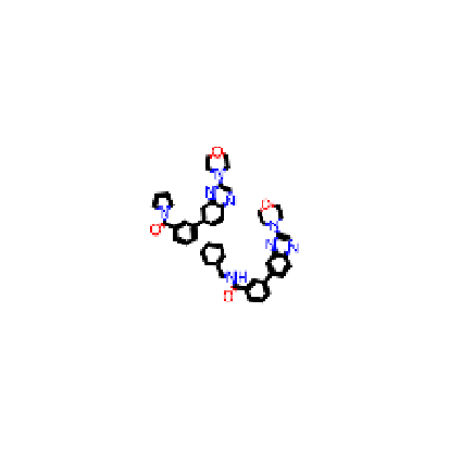 O=C(NCc1ccccc1)c1cccc(-c2ccc3ncc(N4CCOCC4)nc3c2)c1.O=C(c1cccc(-c2ccc3ncc(N4CCOCC4)nc3c2)c1)N1CCCC1